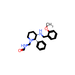 COc1ccccc1CN[C@H]1CCCN(CNC=O)[C@H]1c1ccccc1